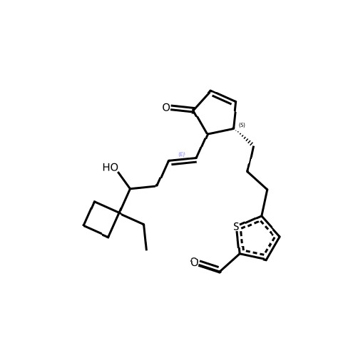 CCC1(C(O)C/C=C/C2C(=O)C=C[C@@H]2CCCc2ccc(C=O)s2)CCC1